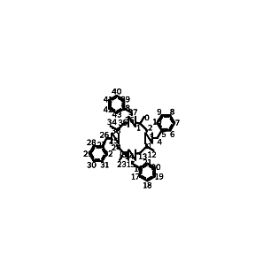 CC1CN(Cc2ccccc2)C(C)CN(Cc2ccccc2)[C@@H](C)CN(Cc2ccccc2)C(C)CN1Cc1ccccc1